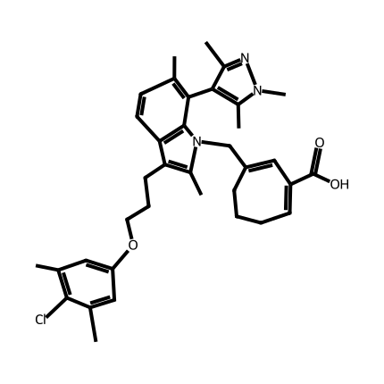 Cc1cc(OCCCc2c(C)n(CC3=CC(C(=O)O)=CCCC3)c3c(-c4c(C)nn(C)c4C)c(C)ccc23)cc(C)c1Cl